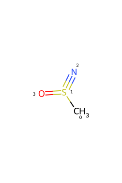 CS(#N)=O